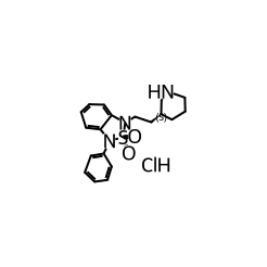 Cl.O=S1(=O)N(CC[C@@H]2CCCNC2)c2ccccc2N1c1ccccc1